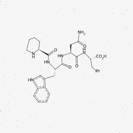 CC(C)C[C@H](NC(=O)[C@H](CC(N)=O)NC(=O)[C@H](Cc1c[nH]c2ccccc12)NC(=O)[C@@H]1CCCCN1)C(=O)O